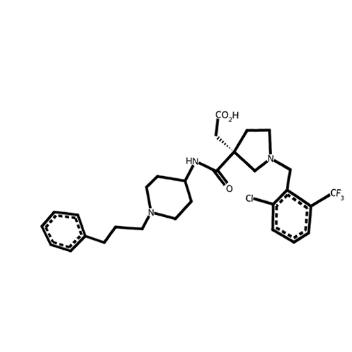 O=C(O)C[C@]1(C(=O)NC2CCN(CCCc3ccccc3)CC2)CCN(Cc2c(Cl)cccc2C(F)(F)F)C1